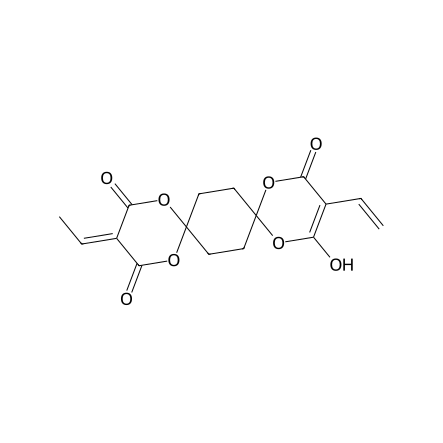 C=CC1=C(O)OC2(CCC3(CC2)OC(=O)C(=CC)C(=O)O3)OC1=O